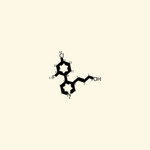 OCC=Cc1cnccc1-c1ccc(Cl)cc1F